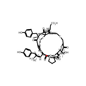 CC(=O)[C@H](Cc1ccc(O)cc1)NC1CCC2C(=O)[C@H](Cc3ccc(O)cc3)NC(=O)[C@H](CCC(=O)O)NC3CCC(N[C@@H]([C@@H](C)O)C(=O)NCC1=O)C(=O)[C@H](C)NC(=O)[C@@H]1CCCN1C(=O)[C@H](CC(N)=O)NC2CSCC(O)(O)C(=O)N3